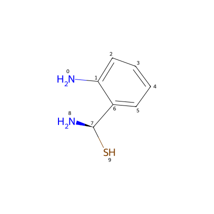 Nc1ccccc1[C@H](N)S